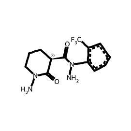 NN1CCC[C@@H](C(=O)N(N)c2ccccc2C(F)(F)F)C1=O